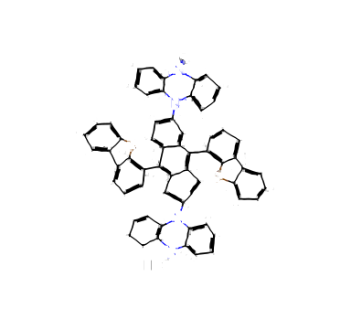 CN1C2=C(C=CCC2)N(c2ccc3c(-c4cccc5c4sc4ccccc45)c4cc(N5c6ccccc6N(C)c6ccccc65)ccc4c(-c4cccc5c4sc4ccccc45)c3c2)c2ccccc21